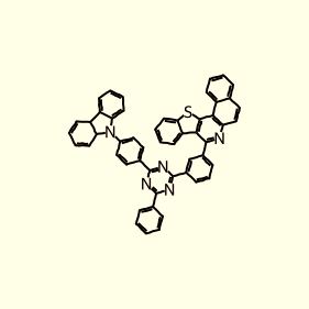 C1=CC2c3ccccc3N(c3ccc(-c4nc(-c5ccccc5)nc(-c5cccc(-c6nc7ccc8ccccc8c7c7sc8ccccc8c67)c5)n4)cc3)C2C=C1